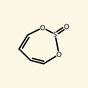 O=S1OC=CC=CO1